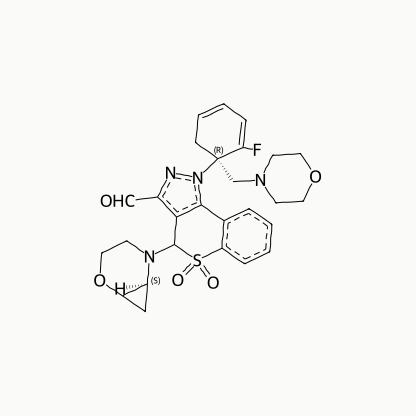 O=Cc1nn([C@@]2(CN3CCOCC3)CC=CC=C2F)c2c1C(N1CCOC3C[C@@H]31)S(=O)(=O)c1ccccc1-2